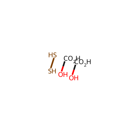 O=C(O)O.O=C(O)O.SS